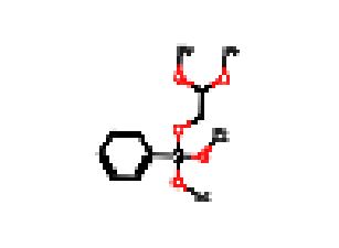 CCO[Si](OCC)(OCC(OC(C)C)OC(C)C)c1ccccc1